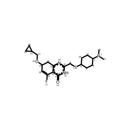 CN(C)C1CCC(SCc2nc3c(c(=O)[nH]2)C(F)=CC(OCC2CC2)C3)CC1